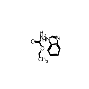 CCOC(N)=O.c1ccc2[nH]cnc2c1